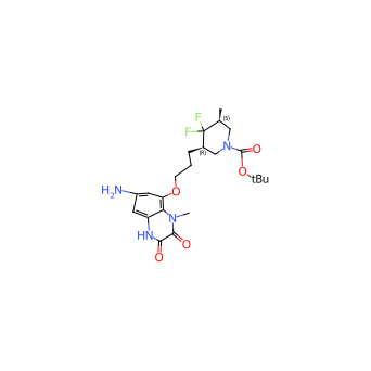 C[C@H]1CN(C(=O)OC(C)(C)C)C[C@@H](CCCOc2cc(N)cc3[nH]c(=O)c(=O)n(C)c23)C1(F)F